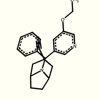 CCOc1cncc(C2(C#N)CC3CCC(C2)N3Cc2ccccc2)c1